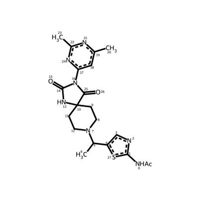 CC(=O)Nc1ncc(C(C)N2CCC3(CC2)NC(=O)N(c2cc(C)nc(C)n2)C3=O)s1